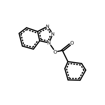 O=C(On1nnc2ccccc21)c1ccccc1